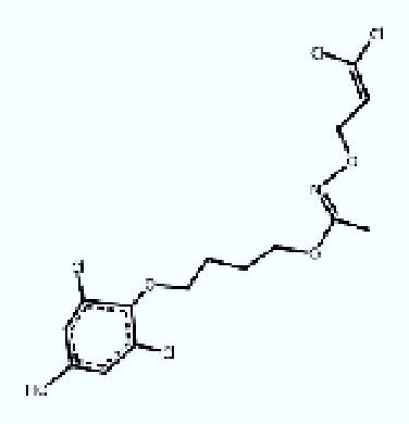 CC(=NOCC=C(Cl)Cl)OCCCCOc1c(Cl)cc(O)cc1Cl